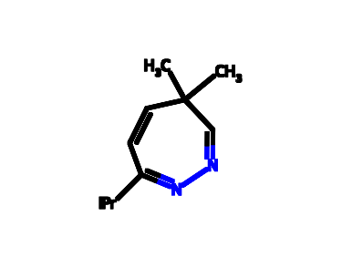 CC(C)C1=NN=CC(C)(C)C=C1